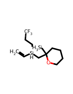 C=C[SiH](CCC(F)(F)F)CC1([SiH3])CCCCO1